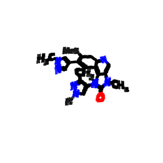 CCn1cc(-n2c(=O)n(C)c3cnc4cc(SC)c(-c5cnn(C)c5)cc4c32)c(C)n1